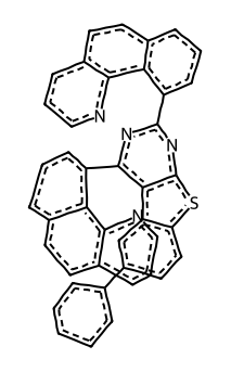 c1ccc(-c2ccc3sc4nc(-c5cccc6ccc7cccnc7c56)nc(-c5cccc6ccc7cccnc7c56)c4c3c2)cc1